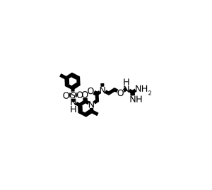 Cc1cccc(S(=O)(=O)Nc2ccc(C)n(CC(=O)N(C)CCONC(=N)N)c2=O)c1